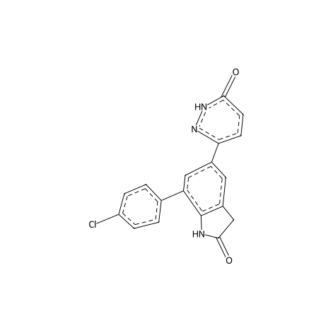 O=C1Cc2cc(-c3ccc(=O)[nH]n3)cc(-c3ccc(Cl)cc3)c2N1